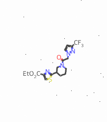 CCOC(=O)c1csc(C2CCCN(C(=O)Cn3ccc(C(F)(F)F)n3)C2)n1